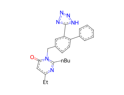 CCCCc1nc(CC)cc(=O)n1Cc1ccc(-c2ccccc2)c(-c2nnn[nH]2)c1